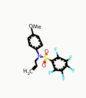 C=CCN(c1ccc(OC)cc1)S(=O)(=O)c1c(F)c(F)c(F)c(F)c1F